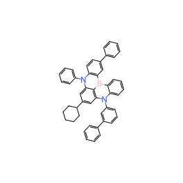 c1ccc(-c2cccc(N3c4ccccc4B4c5cc(-c6ccccc6)ccc5N(c5ccccc5)c5cc(C6CCCCC6)cc3c54)c2)cc1